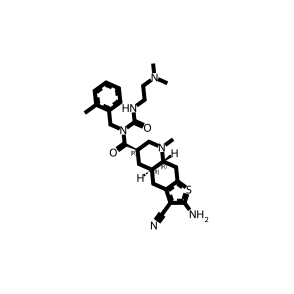 Cc1ccccc1CN(C(=O)NCCN(C)C)C(=O)[C@@H]1C[C@@H]2Cc3c(sc(N)c3C#N)C[C@H]2N(C)C1